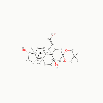 CC1(C)COC2(CC[C@]3(CC=CBr)C4=CC[C@]5(C)[C@@H](O)CC[C@H]5[C@@H]4CC[C@@]3(O)C2)OC1